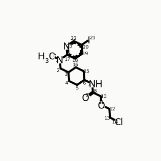 CN(CC1CCC(NC(=O)COCCCl)CC1)c1ccc(I)cn1